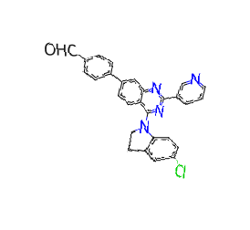 O=Cc1ccc(-c2ccc3c(N4CCc5cc(Cl)ccc54)nc(-c4cccnc4)nc3c2)cc1